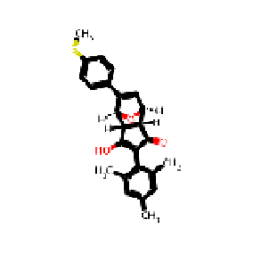 CSc1ccc(C2=C[C@@H]3O[C@H]2[C@H]2C(O)=C(c4c(C)cc(C)cc4C)C(=O)[C@H]23)cc1